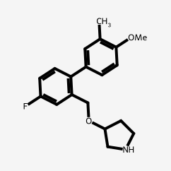 COc1ccc(-c2ccc(F)cc2COC2CCNC2)cc1C